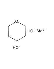 C1CCOCC1.[Mg+2].[OH-].[OH-]